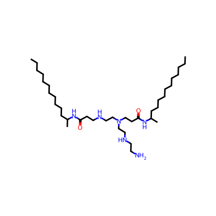 CCCCCCCCCCCC(C)NC(=O)CCNCCN(CCNCCN)CCC(=O)NC(C)CCCCCCCCCCC